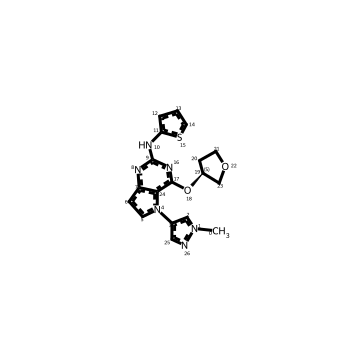 Cn1cc(-n2ccc3nc(Nc4cccs4)nc(O[C@H]4CCOC4)c32)cn1